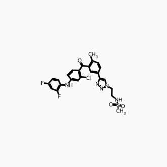 Cc1ccc(-c2cn(CCNS(C)(=O)=O)nn2)cc1C(=O)c1ccc(Nc2ccc(F)cc2F)cc1Cl